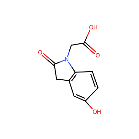 O=C(O)CN1C(=O)Cc2cc(O)ccc21